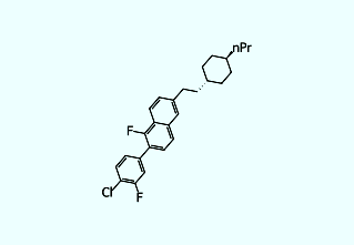 CCC[C@H]1CC[C@H](CCc2ccc3c(F)c(-c4ccc(Cl)c(F)c4)ccc3c2)CC1